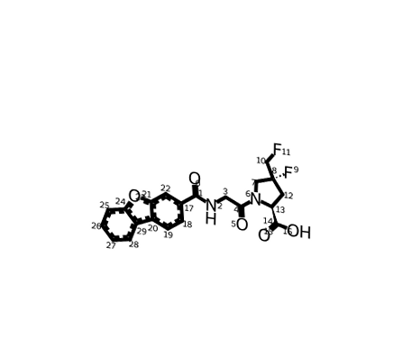 O=C(NCC(=O)N1C[C@@](F)(CF)C[C@H]1C(=O)O)c1ccc2c(c1)oc1ccccc12